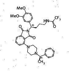 COc1ccc([C@@H](CCCNC(=O)C(F)(F)F)N2C(=O)c3cccc(N4CCN([C@H](C)c5ccccc5)CC4)c3C2=O)cc1OC